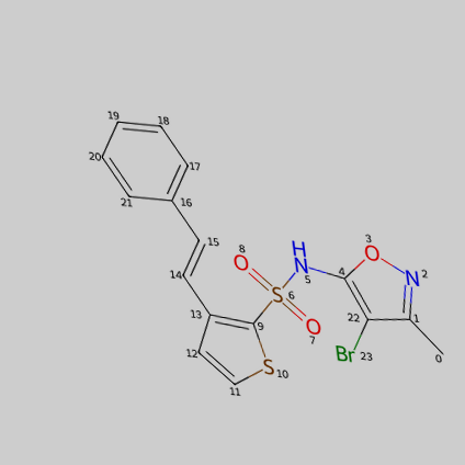 Cc1noc(NS(=O)(=O)c2sccc2C=Cc2ccccc2)c1Br